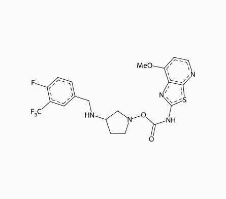 COc1ccnc2sc(NC(=O)ON3CCC(NCc4ccc(F)c(C(F)(F)F)c4)C3)nc12